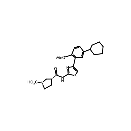 COc1ccc(C2CCCCC2)cc1-c1csc(NC(=O)[C@@H]2CCN(C(=O)O)C2)n1